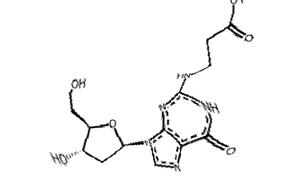 O=C(O)CCNc1nc2c(ncn2[C@H]2C[C@H](O)[C@@H](CO)O2)c(=O)[nH]1